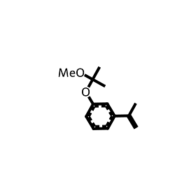 C=C(C)c1cccc(OC(C)(C)OC)c1